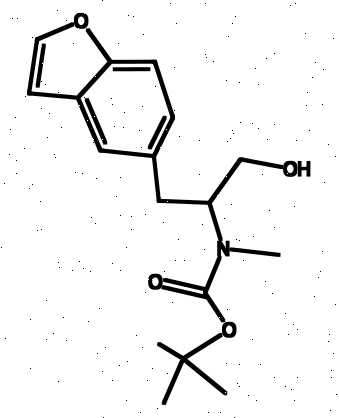 CN(C(=O)OC(C)(C)C)C(CO)Cc1ccc2occc2c1